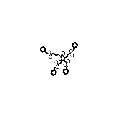 O=C(CCCNC(=O)C(CCC(=O)OCc1ccccc1)C(CCC(=O)OCc1ccccc1)C(=O)OCc1ccccc1)OCc1ccccc1